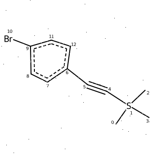 CS(C)(C)C#Cc1ccc(Br)cc1